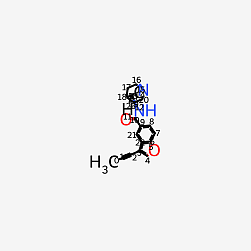 CC#Cc1coc2ccc(C(=O)N[C@H]3CN4CCC3CC4)cc12